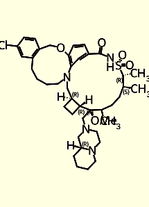 CO[C@]1(CN2CCN3CCCC[C@@H]3C2)C(C)CC[C@H](C)[C@@H](C)S(=O)(=O)NC(=O)c2ccc3c(c2)N(CCCCc2cc(Cl)ccc2CO3)C[C@@H]2CC[C@H]21